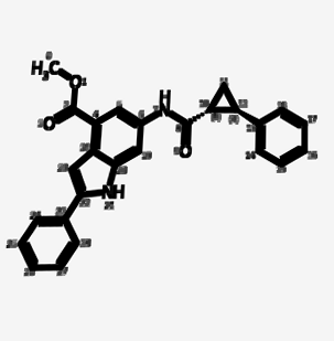 COC(=O)c1cc(NC(=O)[C@@H]2C[C@H]2c2ccccc2)cc2[nH]c(-c3ccccc3)cc12